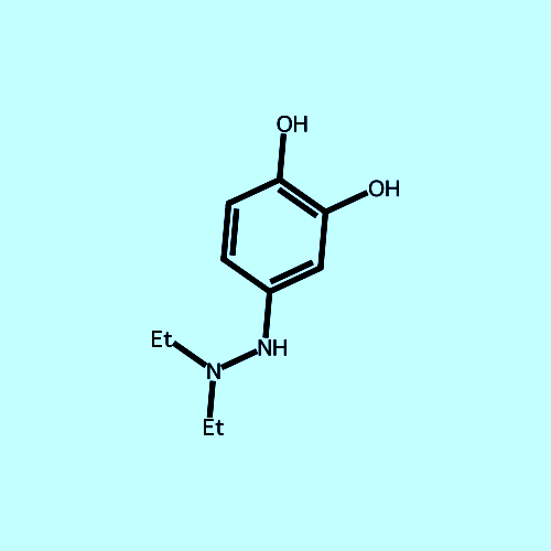 CCN(CC)Nc1ccc(O)c(O)c1